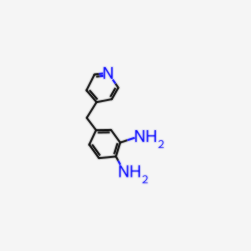 Nc1ccc(Cc2ccncc2)cc1N